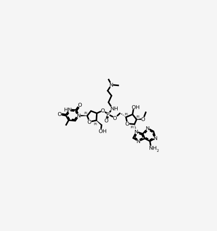 CO[C@@H]1C(O)[C@@H](COP(=O)(NCCCN(C)C)OC2C[C@H](n3cc(C)c(=O)[nH]c3=O)O[C@@H]2CO)O[C@H]1n1cnc2c(N)ncnc21